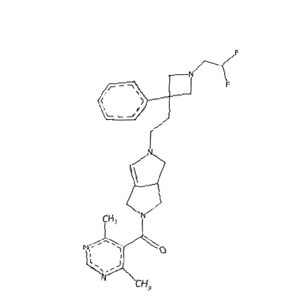 Cc1ncnc(C)c1C(=O)N1CC2=CN(CCC3(c4ccccc4)CN(CC(F)F)C3)CC2C1